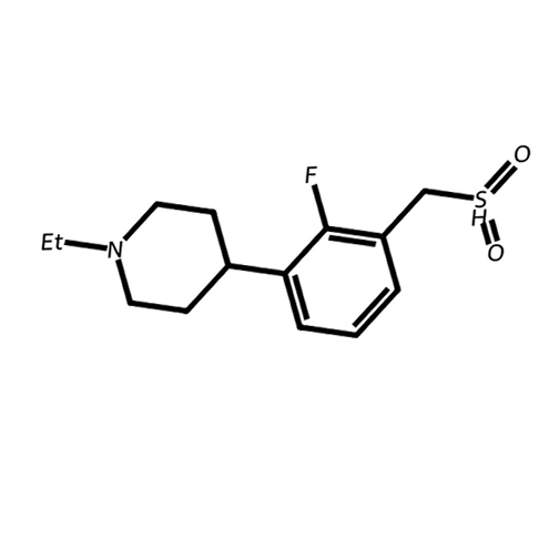 CCN1CCC(c2cccc(C[SH](=O)=O)c2F)CC1